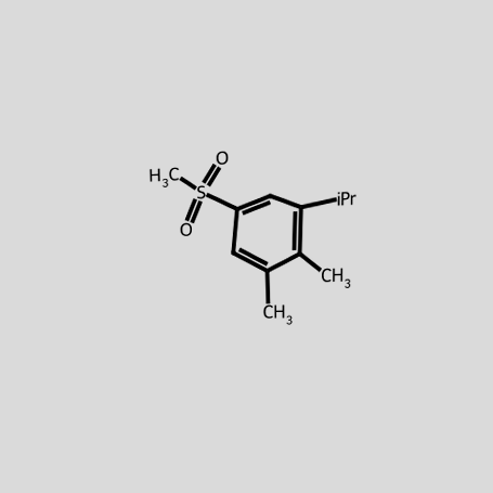 Cc1cc(S(C)(=O)=O)cc(C(C)C)c1C